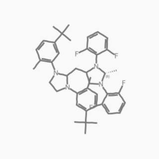 Cc1ccc(C(C)(C)C)cc1N1CCN(c2cc(C(C)(C)C)ccc2C)C1CC1CN(c2c(F)cccc2F)[C@@H](C)N1c1c(F)cccc1F